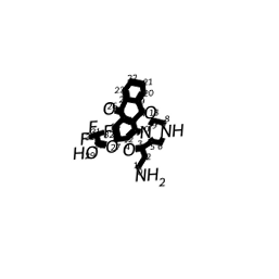 NCCC(=O)C1CNCCN1c1cccc2c1C(=O)c1ccccc1C2=O.O=C(O)C(F)(F)F